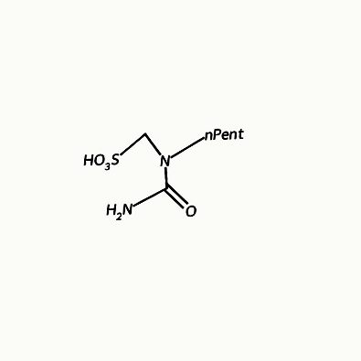 CCCCCN(CS(=O)(=O)O)C(N)=O